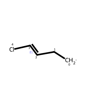 [CH2]C/C=C/Cl